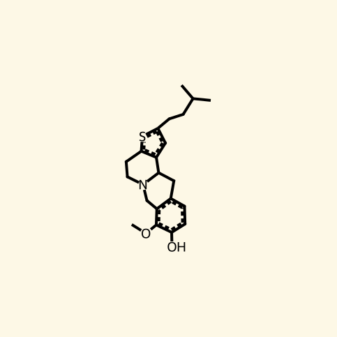 COc1c(O)ccc2c1CN1CCc3sc(CCC(C)C)cc3C1C2